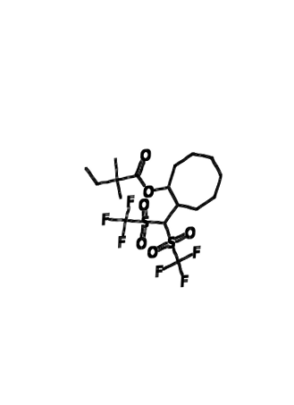 CCC(C)(C)C(=O)OC1CCCCCCC1C(S(=O)(=O)C(F)(F)F)S(=O)(=O)C(F)(F)F